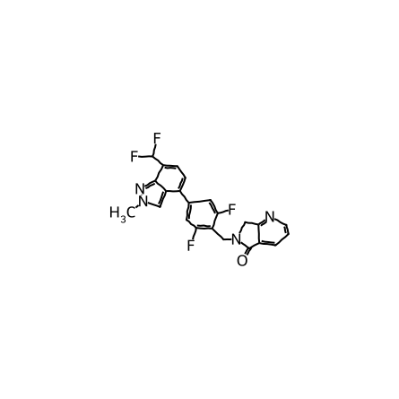 Cn1cc2c(-c3cc(F)c(CN4Cc5ncccc5C4=O)c(F)c3)ccc(C(F)F)c2n1